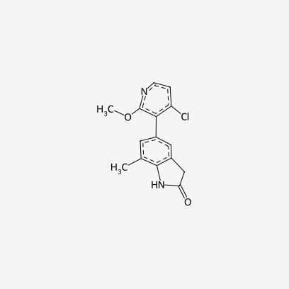 COc1nccc(Cl)c1-c1cc(C)c2c(c1)CC(=O)N2